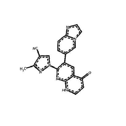 Cc1nn(-c2nc3[nH]ccc(=O)c3cc2-c2ccc3nccn3c2)cc1C#N